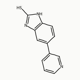 Sc1nc2cc(-c3cccnc3)ccc2[nH]1